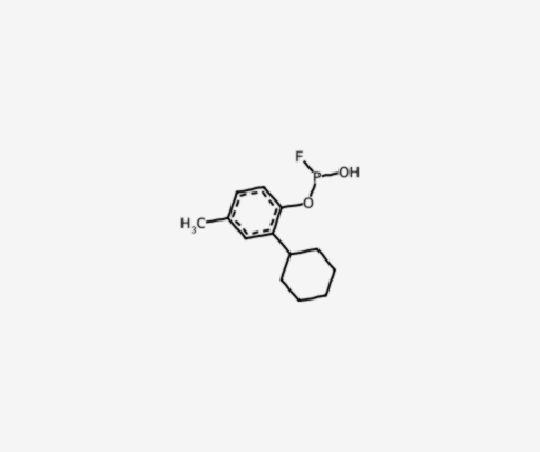 Cc1ccc(OP(O)F)c(C2CCCCC2)c1